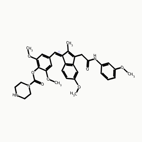 COc1cccc(NC(=O)CC2=C(C)/C(=C/c3cc(OC)c(OC(=O)N4CCNCC4)c(OC)c3)c3ccc(OC)cc32)c1